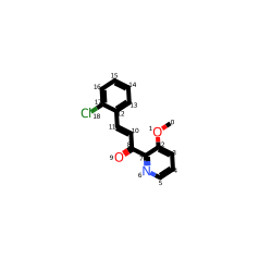 COc1cccnc1C(=O)/C=C/c1ccccc1Cl